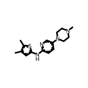 Cc1cc(Nc2ccc(N3CCN(C)CC3)cn2)sc1C